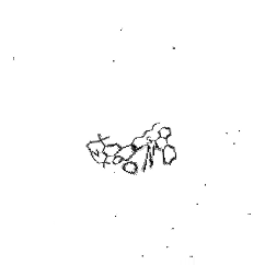 CCCCCCc1c(-c2nc3c4ccccc4c4ccccc4c3s2)c(=O)oc2c3c4c(cc12)C(C)(C)CCN4CCC3(C)C